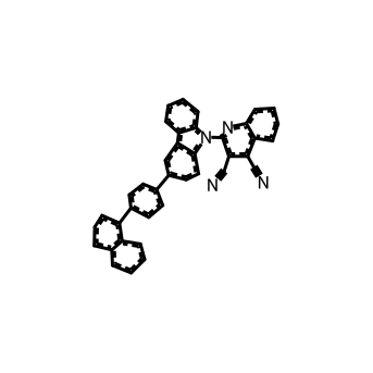 N#Cc1c(-n2c3ccccc3c3cc(-c4ccc(-c5cccc6ccccc56)cc4)ccc32)nc2ccccc2c1C#N